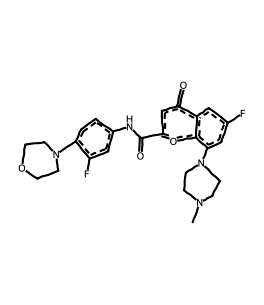 CN1CCN(c2cc(F)cc3c(=O)cc(C(=O)Nc4ccc(N5CCOCC5)c(F)c4)oc23)CC1